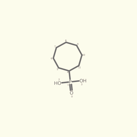 O=P(O)(O)C1CCCCCCC1